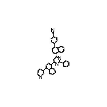 N#Cc1ccc(-c2ccc(-c3cc(-c4ccc(-c5cccnc5)c5ccccc45)nc(-c4ccccc4)n3)c3ccccc23)cc1